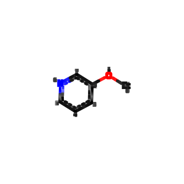 [CH2]COc1cccnc1